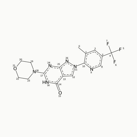 Cc1cc(C(F)(F)F)cnc1-n1cc2c(=O)[nH]c(N3CCOCC3)nc2n1